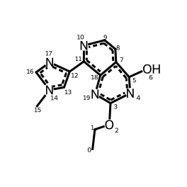 CCOc1nc(O)c2ccnc(-c3cn(C)cn3)c2n1